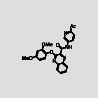 COc1ccc(Oc2nc3ccccc3nc2C(=O)Nc2ccc(C(C)=O)nc2)c(OC)c1